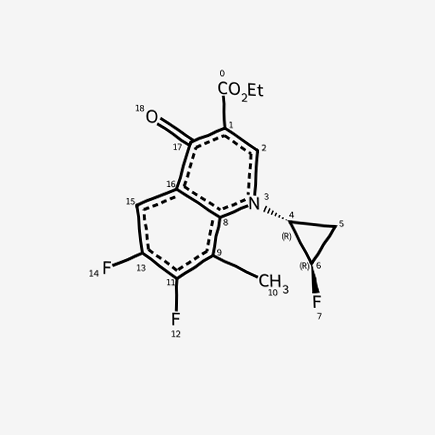 CCOC(=O)c1cn([C@@H]2C[C@H]2F)c2c(C)c(F)c(F)cc2c1=O